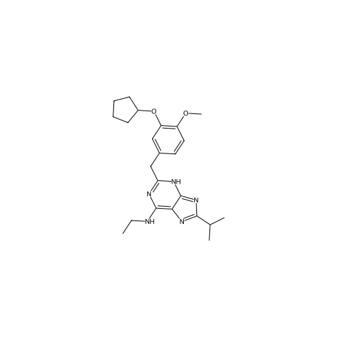 CCNc1nc(Cc2ccc(OC)c(OC3CCCC3)c2)[nH]c2nc(C(C)C)nc1-2